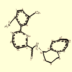 Nc1ccc(Cl)cc1-c1nccc(C(=O)N[C@H]2CCCc3ccccc32)n1